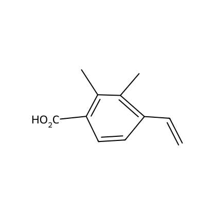 C=Cc1ccc(C(=O)O)c(C)c1C